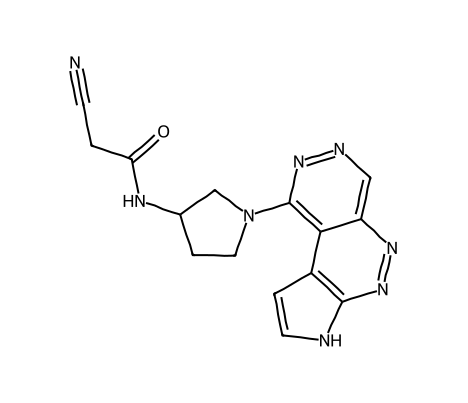 N#CCC(=O)NC1CCN(c2nncc3nnc4[nH]ccc4c23)C1